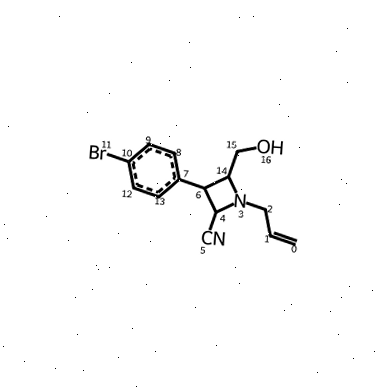 C=CCN1C(C#N)C(c2ccc(Br)cc2)C1CO